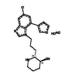 Cl.Cl.O[C@H]1CCCN[C@@H]1CCCn1cnc2cc(Cl)cc(-c3ccoc3)c21